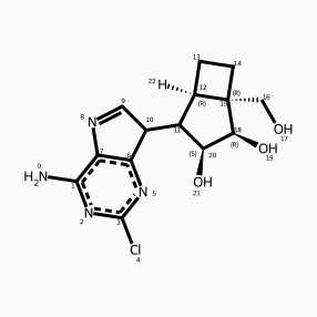 Nc1nc(Cl)nc2c1N=CC2C1[C@H]2CC[C@@]2(CO)[C@@H](O)[C@H]1O